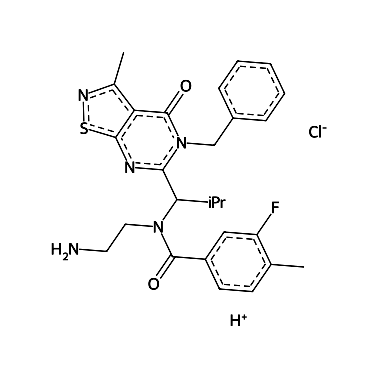 Cc1ccc(C(=O)N(CCN)C(c2nc3snc(C)c3c(=O)n2Cc2ccccc2)C(C)C)cc1F.[Cl-].[H+]